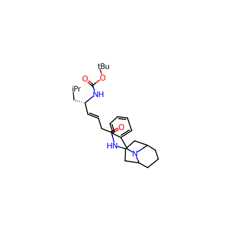 CC(C)C[C@@H](/C=C/CC(=O)NC1CC2CCCC(C1)N2Cc1ccccc1)NC(=O)OC(C)(C)C